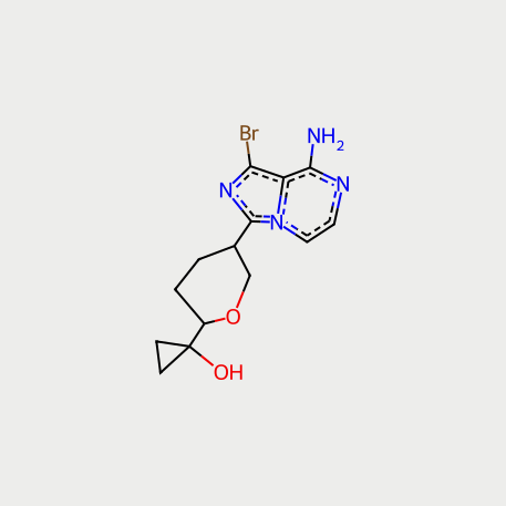 Nc1nccn2c(C3CCC(C4(O)CC4)OC3)nc(Br)c12